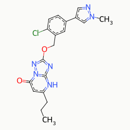 CCCc1cc(=O)n2nc(OCc3cc(-c4cnn(C)c4)ccc3Cl)nc2[nH]1